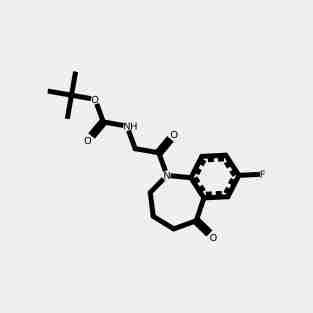 CC(C)(C)OC(=O)NCC(=O)N1CCCC(=O)c2cc(F)ccc21